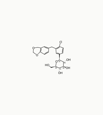 OC[C@H]1O[C@@H](c2ccc(Cl)c(Cc3ccc4c(c3)COCO4)c2)[C@H](O)[C@@H](O)[C@@H]1O